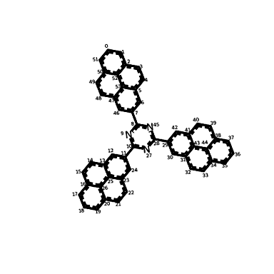 c1cc2ccc3cc(-c4nc(-c5cc6ccc7cccc8ccc(c5)c6c78)nc(-c5cc6ccc7cccc8ccc(c5)c6c78)n4)cc4ccc(c1)c2c34